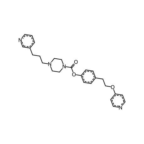 O=C(Oc1ccc(CCOc2ccncc2)cc1)N1CCN(CCCc2cccnc2)CC1